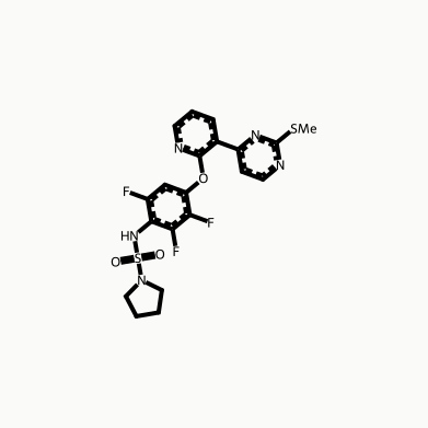 CSc1nccc(-c2cccnc2Oc2cc(F)c(NS(=O)(=O)N3CCCC3)c(F)c2F)n1